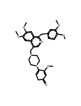 COC1=CC(=O)CC=C1N1CCN(Cc2cnc(Cc3ccc(OC)c(OC)c3)c3cc(OC)c(OC)cc23)CC1